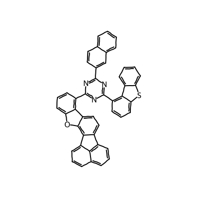 c1ccc2cc(-c3nc(-c4cccc5oc6c7c(ccc6c45)-c4cccc5cccc-7c45)nc(-c4cccc5sc6ccccc6c45)n3)ccc2c1